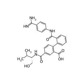 CC(C)[C@@H](CO)NC(=O)c1ccc(-c2ccccc2C(=O)Nc2ccc(C(=N)N)cc2)c(C(=O)O)c1